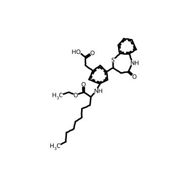 CCCCCCCCC(Nc1cc(CC(=O)O)cc(C2CC(=O)Nc3ccccc3S2)c1)C(=O)OCC